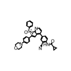 N#Cc1cc(-c2ccnc3c2cc(-c2ccc(N4CCOCC4)cc2)n3[S+]([O-])c2ccccc2)ccc1NC(=O)C1CC1